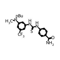 CCCCN(C)c1cc(NC(=S)Nc2ccc(C(N)=O)cc2)cc(C(F)(F)F)c1